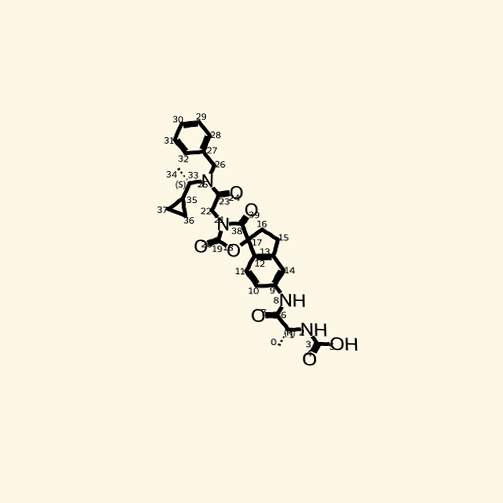 C[C@@H](NC(=O)O)C(=O)Nc1ccc2c(c1)CCC21OC(=O)N(CC(=O)N(Cc2ccccc2)[C@@H](C)C2CC2)C1=O